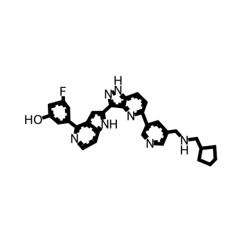 Oc1cc(F)cc(-c2nccc3[nH]c(-c4n[nH]c5ccc(-c6cncc(CNCC7CCCC7)c6)nc45)cc23)c1